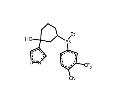 CC[As](c1ccc(C#N)c(C(F)(F)F)c1)C1CCCC(O)(c2cnoc2)C1